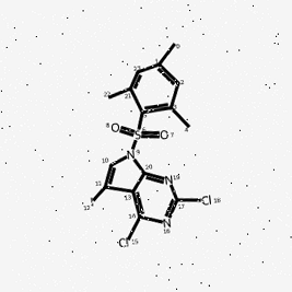 Cc1cc(C)c(S(=O)(=O)n2cc(I)c3c(Cl)nc(Cl)nc32)c(C)c1